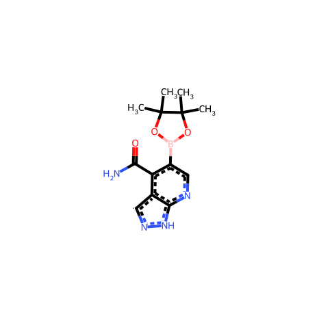 CC1(C)OB(c2cnc3[nH]n[c]c3c2C(N)=O)OC1(C)C